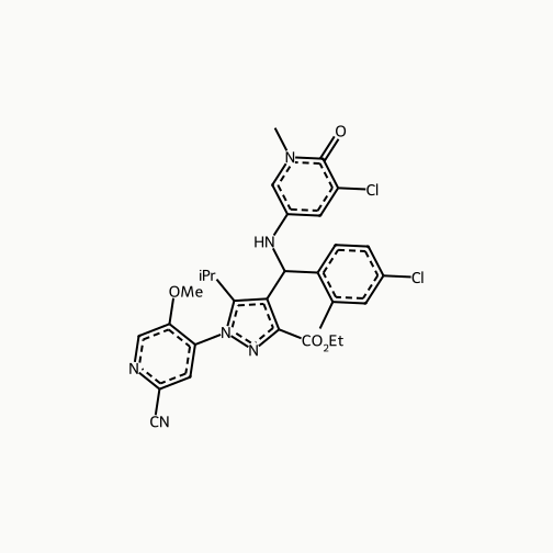 CCOC(=O)c1nn(-c2cc(C#N)ncc2OC)c(C(C)C)c1C(Nc1cc(Cl)c(=O)n(C)c1)c1ccc(Cl)cc1C